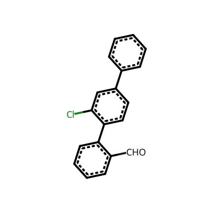 O=Cc1ccccc1-c1ccc(-c2ccccc2)cc1Cl